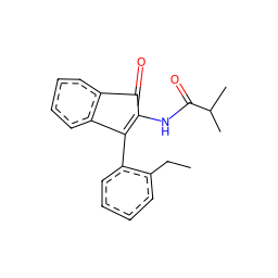 CCc1ccccc1C1=C(NC(=O)C(C)C)C(=O)c2ccccc21